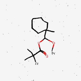 CCC(C)(C)C(=O)OC(OC(C)C)C1(C)CCCCC1